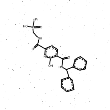 CCCP(=O)(O)CNC(=O)c1ncc(C(=O)NC(c2ccccc2)c2ccccc2)c(O)n1